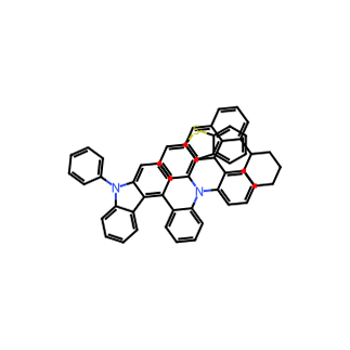 c1ccc(-n2c3ccccc3c3c(-c4ccccc4N(c4ccccc4-c4cccc5cccc(C6CCCCC6)c45)c4cccc5sc6ccccc6c45)cccc32)cc1